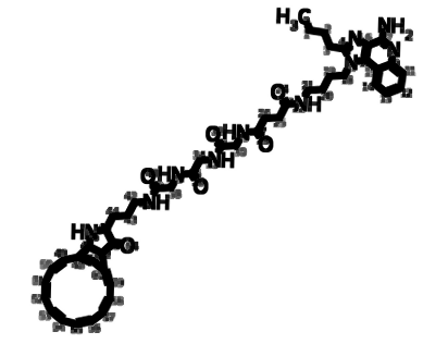 CCCCc1nc2c(N)nc3ccccc3c2n1CCCCNC(=O)CCC(=O)NCC(=O)NCC(=O)NCC(=O)NCCCC1NC2c3cccccccccccc(c3)C2C1=O